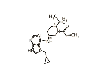 C=CC(=O)N1C[C@@H](Nc2ncnc3[nH]cc(CC4CC4)c23)CC[C@H]1C(C)C